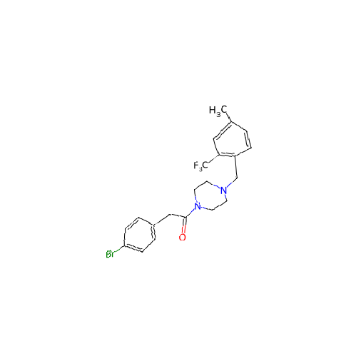 Cc1ccc(CN2CCN(C(=O)Cc3ccc(Br)cc3)CC2)c(C(F)(F)F)c1